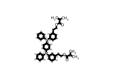 C=C(C)C(=O)OCCc1cccc(N(c2ccccc2)c2ccc(N(c3ccccc3)c3cccc(CCOC(=O)C(C)C)c3)cc2)c1